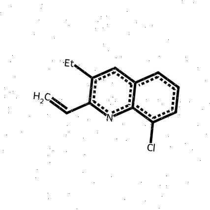 C=Cc1nc2c(Cl)cccc2cc1[CH]C